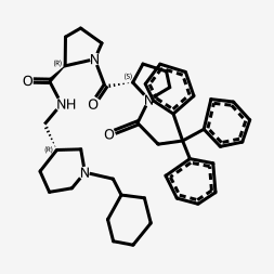 O=C(NC[C@H]1CCCN(CC2CCCCC2)C1)[C@H]1CCCN1C(=O)[C@@H]1CCCN1C(=O)CC(c1ccccc1)(c1ccccc1)c1ccccc1